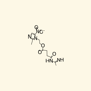 CC(=N)NC(=O)CCC(=O)OCCn1c([N+](=O)[O-])cnc1C